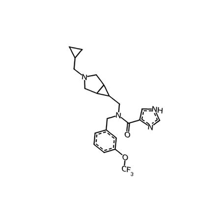 O=C(c1c[nH]cn1)N(Cc1cccc(OC(F)(F)F)c1)CC1C2CN(CC3CC3)CC21